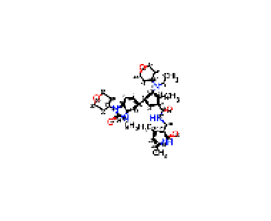 CCN(c1cc(-c2ccc3c(c2)n(C)c(=O)n3C2CCOCC2)cc(C(=O)NCc2c(C)cc(C)[nH]c2=O)c1C)C1CCOCC1